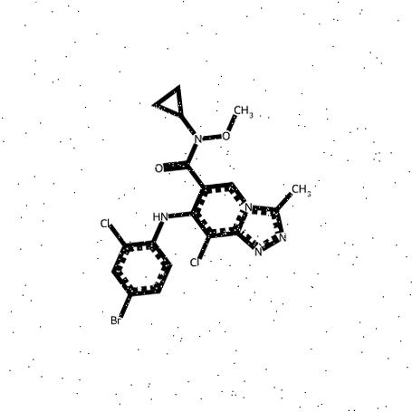 CON(C(=O)c1cn2c(C)nnc2c(Cl)c1Nc1ccc(Br)cc1Cl)C1CC1